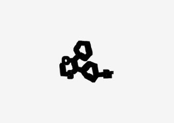 Brc1ccc(C2=C(C3=CC=CCC3)OC=CS2)cc1